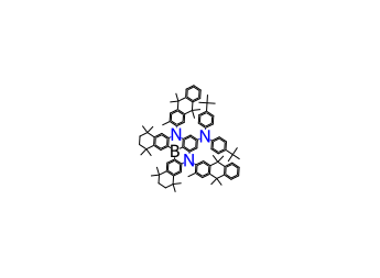 Cc1cc2c(cc1N1c3cc4c(cc3B3c5cc6c(cc5N(c5cc7c(cc5C)C(C)(C)c5ccccc5C7(C)C)c5cc(N(c7ccc(C(C)(C)C)cc7)c7ccc(C(C)(C)C)cc7)cc1c53)C(C)(C)CCC6(C)C)C(C)(C)CCC4(C)C)C(C)(C)c1ccccc1C2(C)C